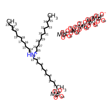 CCCCCCCCCCCC[NH+](CCCCCCCCCCCC)CCCCCCCCCCCC.[O]=[Mo](=[O])([O-])[O-].[O]=[Mo](=[O])([O-])[O-].[O]=[Mo](=[O])([O-])[O-].[O]=[Mo](=[O])([O-])[O-].[O]=[Mo](=[O])([O-])[O-].[O]=[Mo](=[O])([O-])[O-]